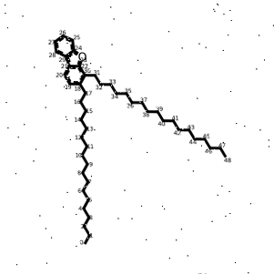 CCCCCCCCCCCCCCCCCCc1ccc2c(oc3ccccc32)c1CCCCCCCCCCCCCCCCCC